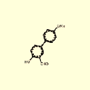 COc1ccc(-c2ccc(O)c(C=O)c2)cc1